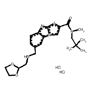 CN(CC(C)(C)C)C(=O)c1cn2c(nc3ccc(CNCC4OCCO4)cc32)s1.Cl.Cl